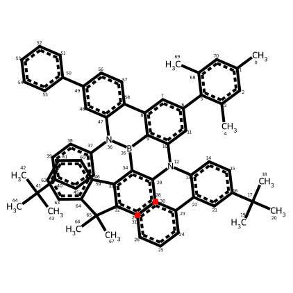 Cc1cc(C)c(-c2cc3c4c(c2)N(c2ccc(C(C)(C)C)cc2-c2ccccc2)c2ccc5c(c2B4N(c2ccc(C(C)(C)C)cc2)c2cc(-c4ccccc4)ccc2-3)-c2ccccc2C5(C)C)c(C)c1